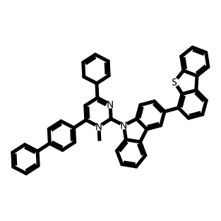 CN1C(c2ccc(-c3ccccc3)cc2)=CC(C2C=CC=CC2)=NC1n1c2ccccc2c2cc(-c3cccc4c3sc3ccccc34)ccc21